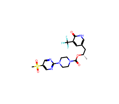 C[C@@H](Cc1c[nH]c(=O)c(C(F)(F)F)c1)OC(=O)N1CCN(c2ncc(S(C)(=O)=O)cn2)CC1